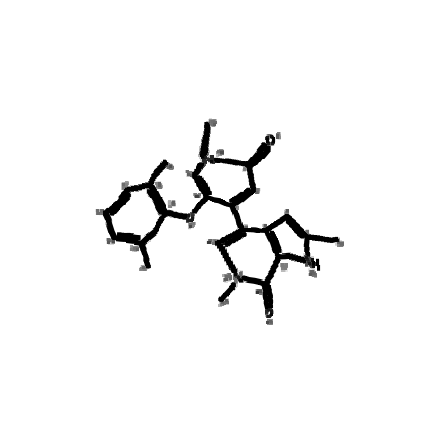 Cc1cc2c(-c3cc(=O)n(C)cc3Oc3c(C)cccc3C)cn(C)c(=O)c2[nH]1